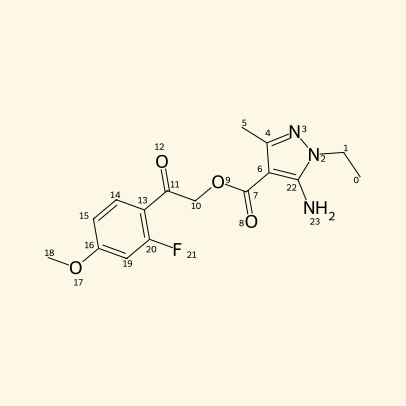 CCn1nc(C)c(C(=O)OCC(=O)c2ccc(OC)cc2F)c1N